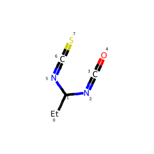 CCC(N=C=O)N=C=S